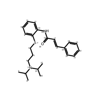 CC(C)N(CCCSc1ccccc1NC(=O)C=Cc1ccccc1)C(C)C